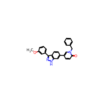 COc1cccc(-c2n[nH]c3cc(-c4ccc(=O)n(Cc5ccccc5)c4)ccc23)c1